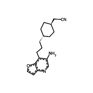 N#CC[C@H]1CC[C@H](CCCc2c(N)cnc3ccoc23)CC1